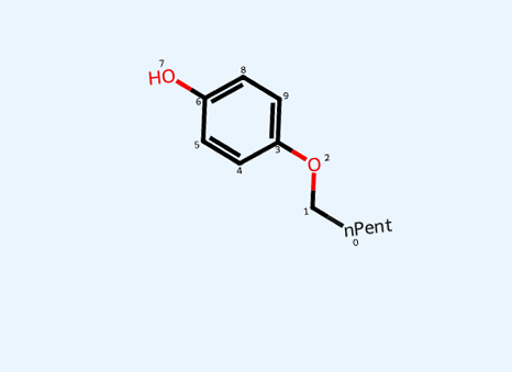 CCC[CH]CCOc1ccc(O)cc1